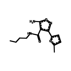 CCCCNC(=O)c1c(-c2ccc(C)o2)noc1N